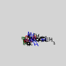 COc1cc2c(cc1Nc1ncc(C(N)=O)c(Nc3ccccc3C(O)(C(F)(F)F)C(F)(F)F)n1)CN(C)CC2